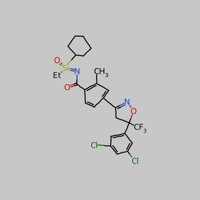 CCS(=O)(=NC(=O)c1ccc(C2=NOC(c3cc(Cl)cc(Cl)c3)(C(F)(F)F)C2)cc1C)C1CCCCC1